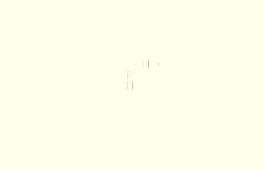 O=C[PH](c1ccccc1)(c1ccccc1)c1ccccc1.[Ru]